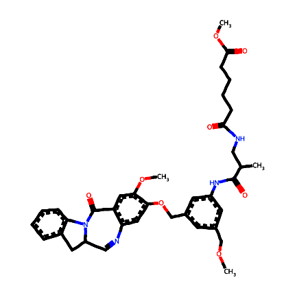 COCc1cc(COc2cc3c(cc2OC)C(=O)N2c4ccccc4CC2C=N3)cc(NC(=O)C(C)CNC(=O)CCCCC(=O)OC)c1